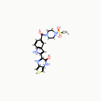 CS(=O)(=O)N1CCN(C(=O)c2ccc3[nH]c(-c4nc5cscc5[nH]c4=O)cc3c2)CC1